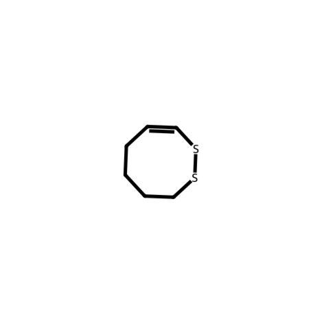 C1=C\SSCCCC/1